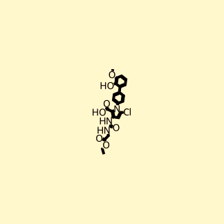 CCOC(=O)CNC(=O)Nc1cc(Cl)n(-c2ccc(-c3cccc(OC)c3O)cc2)c1C(=O)O